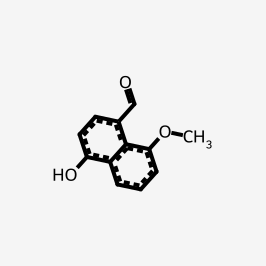 COc1cccc2c(O)ccc(C=O)c12